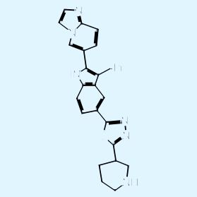 CC(C)c1c(-c2ccc3nccn3c2)[nH]c2ccc(-c3nnc(C4CCCNC4)o3)cc12